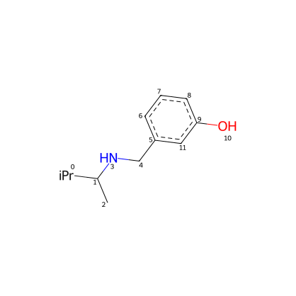 CC(C)C(C)NCc1cccc(O)c1